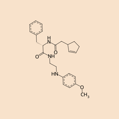 COc1ccc(NCCNC(=O)[C@H](Cc2ccccc2)NC(=O)CC2C=CCC2)cc1